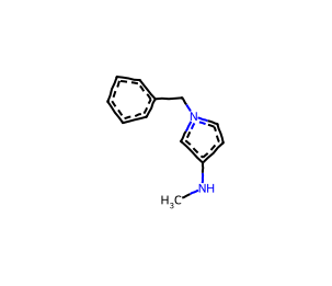 CNc1ccn(Cc2ccccc2)c1